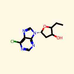 CCC1O[C@@H](n2cnc3c(Cl)ncnc32)CC1O